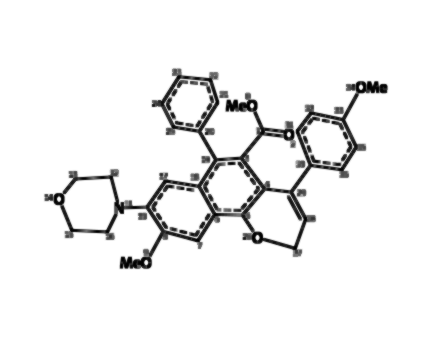 COC(=O)c1c2c(c3cc(OC)c(N4CCOCC4)cc3c1-c1ccccc1)OCC=C2c1ccc(OC)cc1